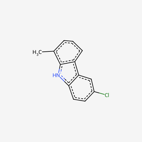 Cc1cccc2c1[nH]c1ccc(Cl)cc12